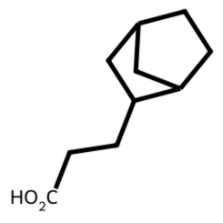 O=C(O)CCC1CC2CCC1C2